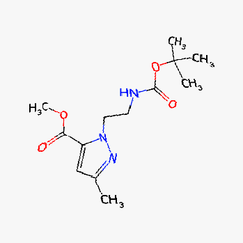 COC(=O)c1cc(C)nn1CCNC(=O)OC(C)(C)C